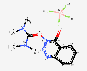 CN(C)C(=[O+]n1nnc2ccccc2c1=O)N(C)C.F[B-](F)(F)F